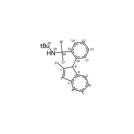 CC1=Cc2ccccc2C1c1ccccc1C(C)(C)NC(C)(C)C